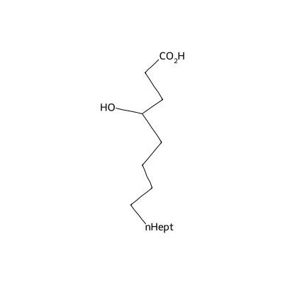 CCCCCCCCCCCC(O)CCC(=O)O